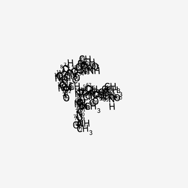 COc1nc(-c2cccc(-c3ccnc(-c4cnc5c(C=O)cn(C)c5c4)c3Cl)c2Cl)ccc1CN(C[C@@H]1CCC(=O)N1)C(=O)OC(C)(C)C.COc1nc(-c2cccc(-c3ccnc(-c4cnc5c(CN6CCC(NC(C)=O)CC6)cn(C)c5c4)c3Cl)c2Cl)ccc1CN(C[C@@H]1CCC(=O)N1)C(=O)OC(C)(C)C